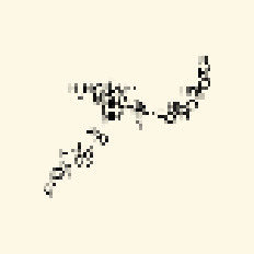 CCCN(CC(=O)N(CCC)CC(=O)N(CCC)CC(=O)N(CCC)CC(=O)N(CC(N)=O)C/C(N)=C/NCCCNC(=O)CCCOc1c(C(C)(C)C)cc(-c2nc3cc(N4CCN(C)CC4)ccc3[nH]2)cc1C(C)(C)C)C(=O)CCCOc1cccc(-c2nc3ccc(-c4nc5ccc(N6CCN(C)CC6)cc5[nH]4)cc3[nH]2)c1